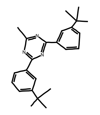 Cc1nc(-c2cccc(C(C)(C)C)c2)nc(-c2cccc(C(C)(C)C)c2)n1